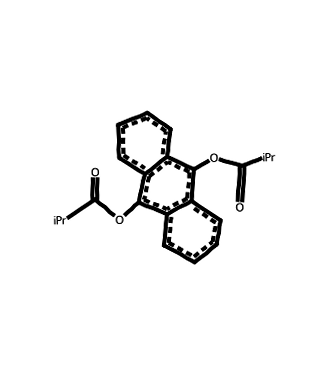 CC(C)C(=O)Oc1c2ccccc2c(OC(=O)C(C)C)c2ccccc12